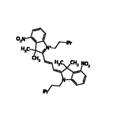 CC(C)CCN1/C(=C/C=C/C2=[N+](CCC(C)C)c3cccc([N+](=O)[O-])c3C2(C)C)C(C)(C)c2c1cccc2[N+](=O)[O-]